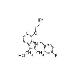 Cc1c(C)n(Cc2ccc(F)cc2)c2c(OCCC(C)C)nccc12.Cl